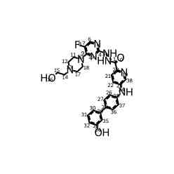 O=C(NNc1ncc(F)c(N2CCN(CCO)CC2)n1)c1ccc(Nc2ccc(-c3cccc(O)c3)cc2)cn1